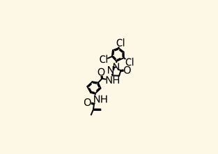 C=C(C)C(=O)Nc1cccc(C(=O)NC2=NN(c3c(Cl)cc(Cl)cc3Cl)C(=O)C2)c1